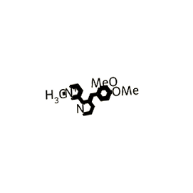 COc1ccc(/C=C2\CCCN=C2c2ccc[n+](C)c2)c(OC)c1